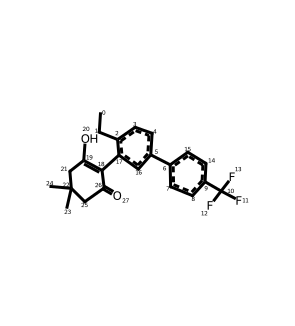 CCc1ccc(-c2ccc(C(F)(F)F)cc2)cc1C1=C(O)CC(C)(C)CC1=O